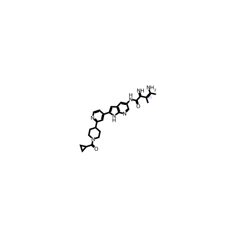 C/C(N)=C(\C)C(=N)C(=O)Nc1cnc2[nH]c(-c3ccnc(C4CCN(C(=O)C5CC5)CC4)c3)cc2c1